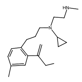 C=C(CC)c1cc(C)ccc1CCCN(CCNC)C1CC1